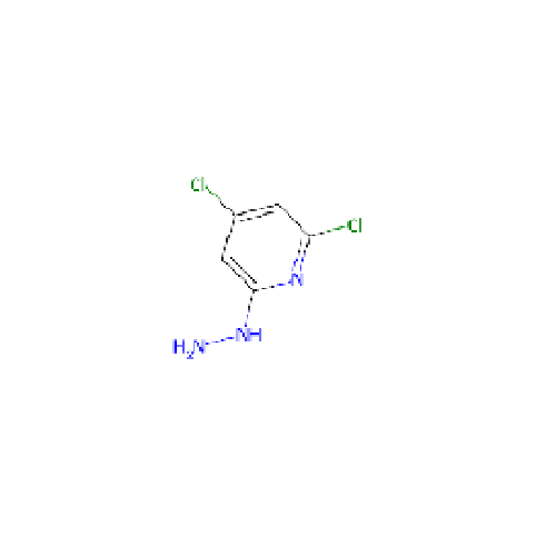 NNc1cc(Cl)cc(Cl)n1